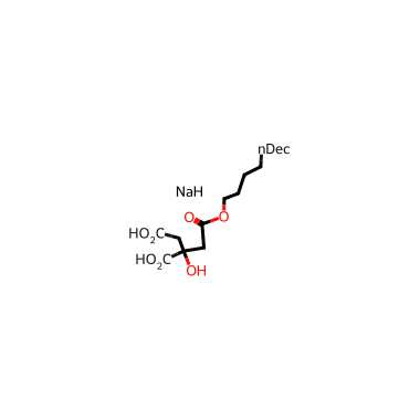 CCCCCCCCCCCCCCOC(=O)CC(O)(CC(=O)O)C(=O)O.[NaH]